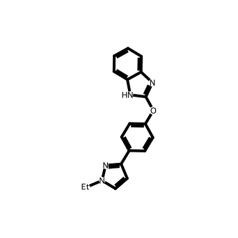 CCn1ccc(-c2ccc(Oc3nc4ccccc4[nH]3)cc2)n1